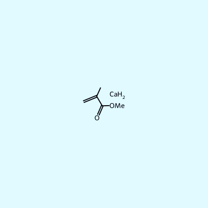 C=C(C)C(=O)OC.[CaH2]